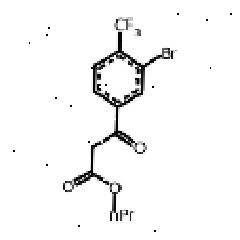 CCCOC(=O)CC(=O)c1ccc(C(F)(F)F)c(Br)c1